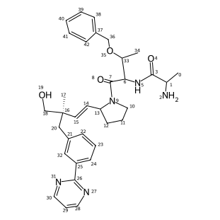 CC(N)C(=O)NC(C(=O)N1CCCC1/C=C/[C@](C)(CO)Cc1cccc(-c2ncccn2)c1)C(C)OCc1ccccc1